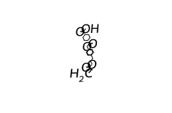 C=CC(=O)OCCc1ccc(OC(=O)[C@H]2CC[C@H](C(=O)O)CC2)cc1